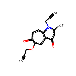 C#CCOc1cc2c(=O)cc(C(=O)O)n(CC#C)c2ccc1=O